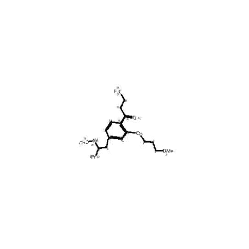 COCCCOc1cc(CC(NC=O)C(C)C)ccc1C(=O)CCC(F)(F)F